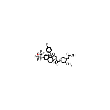 CC1CN(C(=O)N2CC[C@@]3(S(=O)(=O)c4ccc(F)cc4)c4ccc(C(F)(C(F)(F)F)C(F)(F)F)cc4CC[C@@H]23)CCN1CC(=O)O